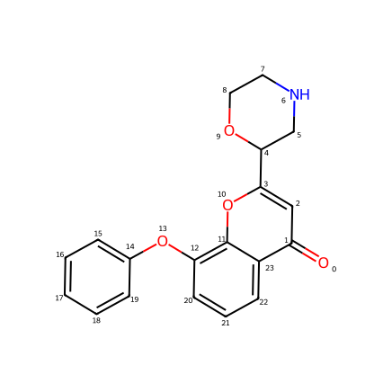 O=c1cc(C2CNCCO2)oc2c(Oc3ccccc3)cccc12